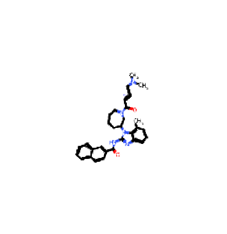 Cc1cccc2nc(NC(=O)c3ccc4ccccc4c3)n(C3CCCCN(C(=O)/C=C/CN(C)C)C3)c12